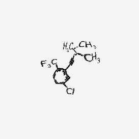 CS(C)(C)C#Cc1cc(Cl)ccc1C(F)(F)F